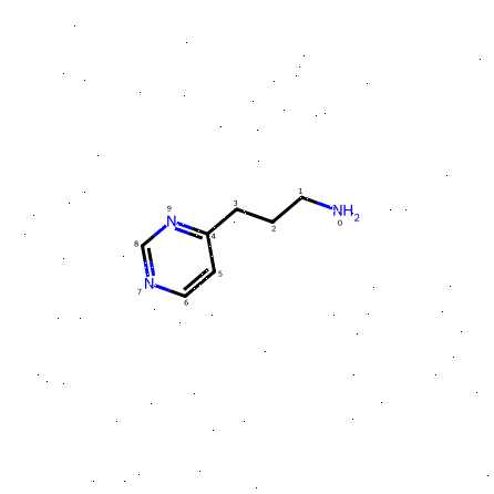 NCCCc1ccncn1